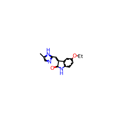 CCOc1ccc2c(c1)/C(=C/c1ncc(C)[nH]1)C(=O)N2